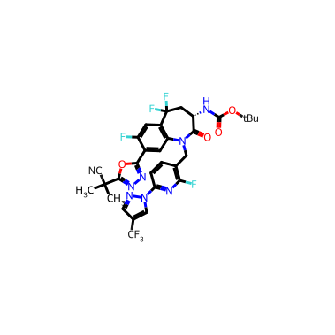 CC(C)(C)OC(=O)N[C@H]1CC(F)(F)c2cc(F)c(-c3nnc(C(C)(C)C#N)o3)cc2N(Cc2ccc(-n3cc(C(F)(F)F)cn3)nc2F)C1=O